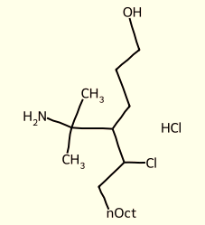 CCCCCCCCCC(Cl)C(CCCO)C(C)(C)N.Cl